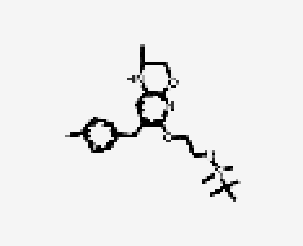 CC1COc2nc(OCCO[Si](C)(C)C(C)(C)C)c(Cc3ccc(F)cc3)cc2N1